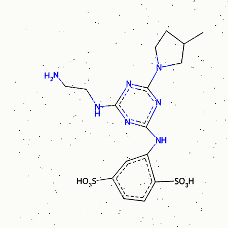 CC1CCN(c2nc(NCCN)nc(Nc3cc(S(=O)(=O)O)ccc3S(=O)(=O)O)n2)C1